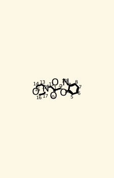 O=C(COc1ccccc1[N+](=O)[O-])CN1CCOCC1